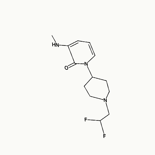 CNc1cccn(C2CCN(CC(F)F)CC2)c1=O